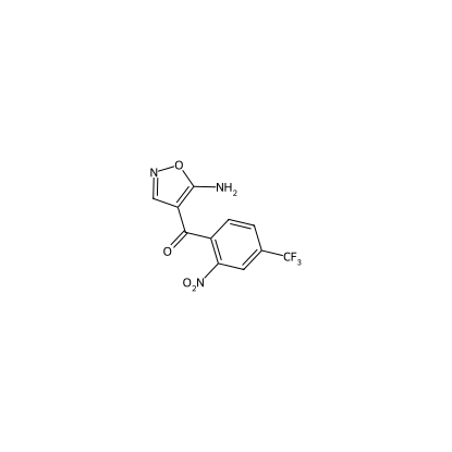 Nc1oncc1C(=O)c1ccc(C(F)(F)F)cc1[N+](=O)[O-]